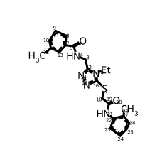 CCn1c(CNC(=O)c2cccc(C)c2)nnc1SCC(=O)Nc1ccccc1C